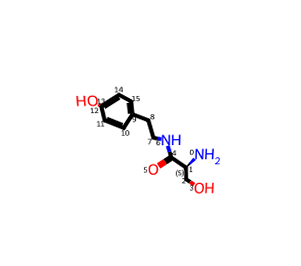 N[C@@H](CO)C(=O)NCCc1ccc(O)cc1